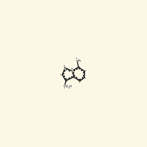 CCCc1cccc2c(C(=O)O)cnn12